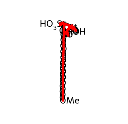 COCCOCCOCCOCCOCCOCCOCCOCCOCCOCCOCCOCCOCCOCCOCCOCCOCCOCCOCCOCCOCCOCCOCCOCCNC(=O)CCCCCN1C(=CC=CC=CC=CC2=[N+](CCCCCC(=O)ON3C(=O)CCC3=O)c3ccc(SOOO)cc3C2(C)C)C(C)(C)c2cc(S(=O)(=O)O)ccc21